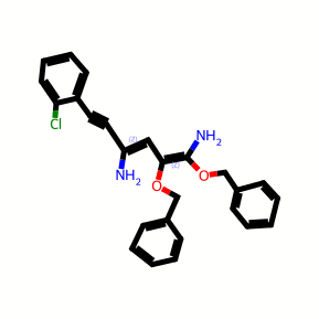 N/C(C#Cc1ccccc1Cl)=C\C(OCc1ccccc1)=C(/N)OCc1ccccc1